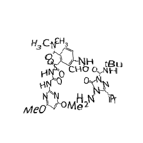 CC(C)c1nn(C(=O)NC(C)(C)C)c(=O)n1N.COc1cc(OC)nc(NC(=O)NS(=O)(=O)c2cc(NC=O)ccc2C(=O)N(C)C)n1